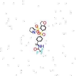 C[C@H](NC(=O)C(F)(F)F)c1ccc(S(=O)(=O)c2ccc3c(c2S(=O)(=O)C2=CCCC=N2)CCO3)cc1